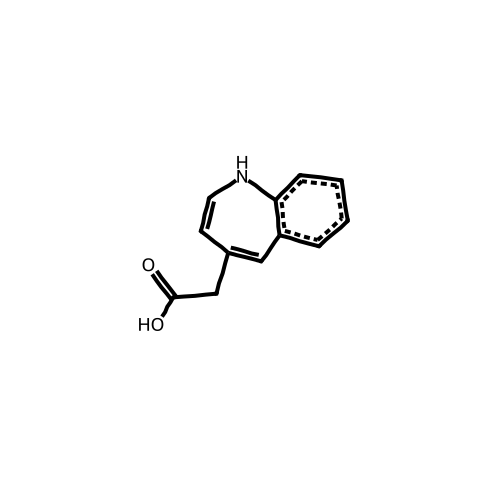 O=C(O)CC1=Cc2ccccc2NC=C1